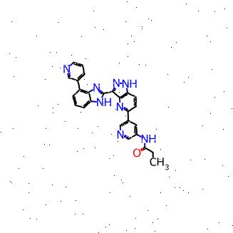 CCC(=O)Nc1cncc(-c2ccc3[nH]nc(-c4nc5c(-c6cccnc6)cccc5[nH]4)c3n2)c1